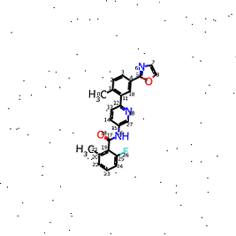 Cc1ccc(-c2ncco2)cc1-c1ccc(NC(=O)c2c(C)cccc2F)cn1